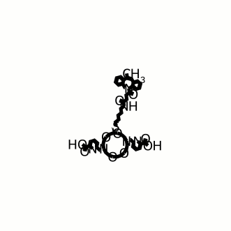 C/C1=C/c2ccccc2N(C(=O)CCC(=O)NCCCCCSC[C@@H]2COCCN(Cc3cccc(C(=O)O)n3)CCOCCOCCN(Cc3cccc(C(=O)O)n3)CCO2)Cc2ccccc21